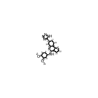 COc1ccc(Nc2nc3cc(-c4nnn[nH]4)ccc3c3sccc23)cc1OC